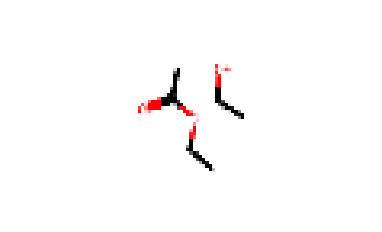 CCO.CCOC(C)=O